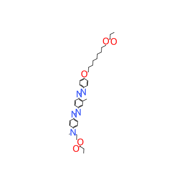 CCC(=O)OCCCCCCCCCOc1ccc(N=Nc2ccc(N=Nc3ccc(N(C)CCOC(=O)CC)cc3)cc2C)cc1